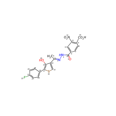 C/C(=N\NC(=O)c1ccc(C(=O)O)c([N+](=O)[O-])c1)c1csc(-c2ccc(F)cc2)c1O